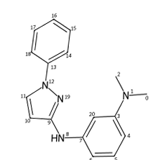 CN(C)c1cccc(Nc2ccn(-c3ccccc3)n2)c1